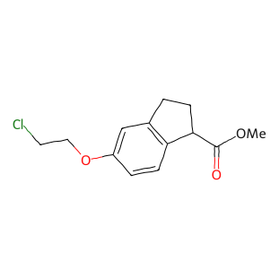 COC(=O)C1CCc2cc(OCCCl)ccc21